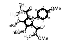 CCCCOc1c(OCCCC)c(C(=O)N(C)OC)n(-c2ccc(OC)cc2)c1C(=O)N(C)C